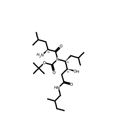 CCC(C)CNC(=O)C[C@H](O)[C@H](CC(C)C)N(C(=O)OC(C)(C)C)C(=O)[C@@H](N)CC(C)C